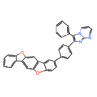 c1ccc(-c2c(-c3ccc(-c4ccc5oc6cc7c(cc6c5c4)oc4ccccc47)cc3)nc3ncccn23)cc1